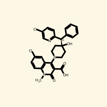 Cn1c(=O)c(C(=O)O)c(N2CCC(O)([C@H](c3ccccc3)c3ccc(Cl)cn3)CC2)c2cc(Cl)ccc21